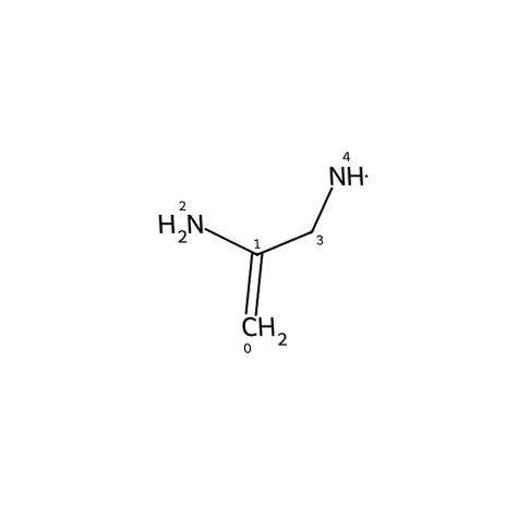 C=C(N)C[NH]